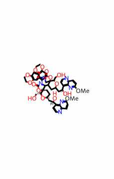 COc1ccc2nccc([C@H](O)C[C@@H]3CC[C@]4(OC(=O)N(c5ccc6c(c5)OCCO6)C4C4CC(C[C@H](O)c5ccnc6ccc(OC)nc56)OC(CO)C45CN(c4ccc6c(c4)OCCO6)C(=O)O5)[C@@H](CO)O3)c2n1